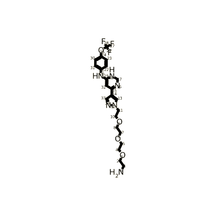 NCCOCCOCCOCCn1cc(C2=NCNC(Nc3ccc(OC(F)(F)F)cc3)=C2)cn1